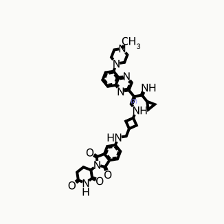 CN1CCN(c2cccc3nc(/C(=C/NC4CC(CNc5ccc6c(c5)C(=O)N(C5CCC(=O)NC5=O)C6=O)C4)C(=N)C4CC4)cnc23)CC1